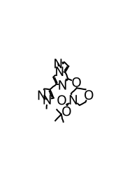 Cn1cc(-c2cn3nccc3c(OC3COCCN(C(=O)OC(C)(C)C)C3)n2)cn1